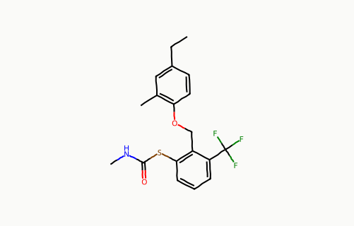 CCc1ccc(OCc2c(SC(=O)NC)cccc2C(F)(F)F)c(C)c1